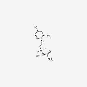 CC(C)C[C@@](C)(COc1ncc(Br)cc1C(F)(F)F)OC(N)=O